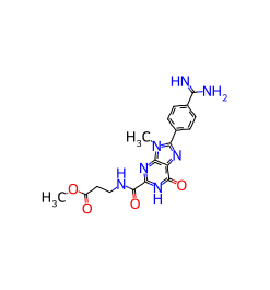 COC(=O)CCNC(=O)c1nc2c(nc(-c3ccc(C(=N)N)cc3)n2C)c(=O)[nH]1